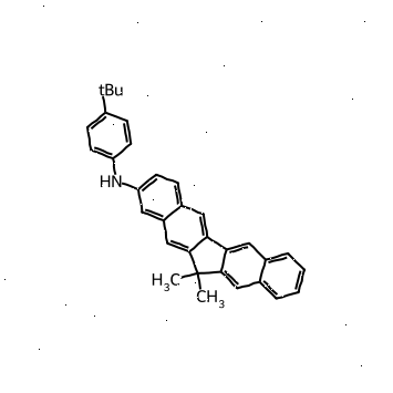 CC(C)(C)c1ccc(Nc2ccc3cc4c(cc3c2)C(C)(C)c2cc3ccccc3cc2-4)cc1